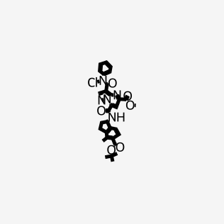 COC(=O)c1cc(C(=O)NC2CCc3c2ccc(C(=O)OC(C)(C)C)c3C)n2ncc(C(=O)N(Cl)c3ccccc3)c2n1